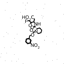 O=C(O)CC(NC(=O)[C@@H]1CCCCN1C(=O)OCc1cccc([N+](=O)[O-])c1)C(=O)CF